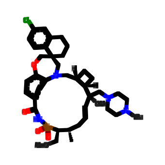 COC[C@@H]1[C@@H](C)C/C=C/[C@](CN2CCN(C(C)(C)C)CC2)(OC)[C@@H]2CC[C@H]2CN2C[C@@]3(CCCc4cc(Cl)ccc43)COc3ccc(cc32)C(=O)NS1(=O)=O